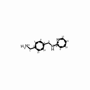 NCc1ccc(CNc2ccccn2)cc1